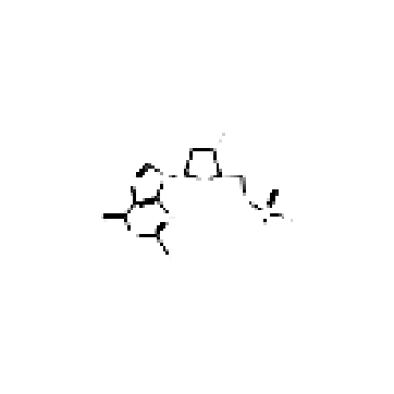 Nc1nc2c(ncn2[C@H]2C[C@@H](F)[C@@H](COP(=O)(O)S)O2)c(=O)[nH]1